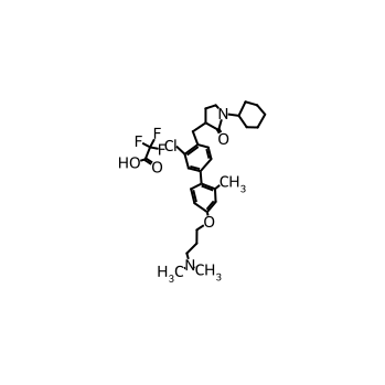 Cc1cc(OCCCN(C)C)ccc1-c1ccc(CC2CCN(C3CCCCC3)C2=O)c(Cl)c1.O=C(O)C(F)(F)F